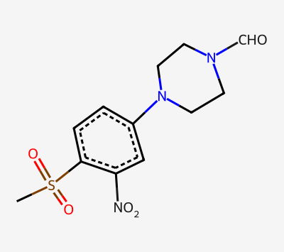 CS(=O)(=O)c1ccc(N2CCN(C=O)CC2)cc1[N+](=O)[O-]